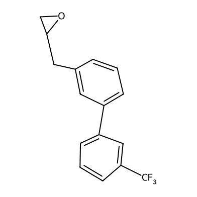 FC(F)(F)c1cccc(-c2cccc(CC3CO3)c2)c1